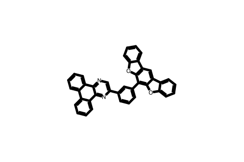 c1cc(-c2cnc3c4ccccc4c4ccccc4c3n2)cc(-c2c3oc4ccccc4c3cc3c2oc2ccccc23)c1